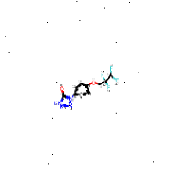 O=c1[nH]nnn1-c1ccc(OCC(F)(F)C(F)F)cc1